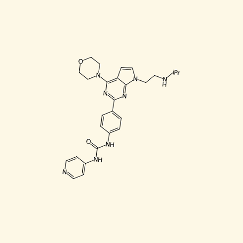 CC(C)NCCn1ccc2c(N3CCOCC3)nc(-c3ccc(NC(=O)Nc4ccncc4)cc3)nc21